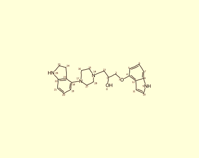 OC(COc1cccc2[nH]ccc12)CN1CCN(c2cccc3c2CCN3)CC1